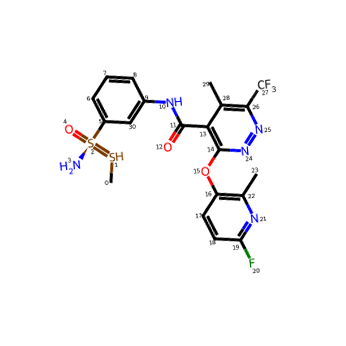 C[SH]=[S@](N)(=O)c1cccc(NC(=O)c2c(Oc3ccc(F)nc3C)nnc(C(F)(F)F)c2C)c1